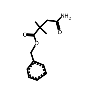 CC(C)(CC(N)=O)C(=O)OCc1ccccc1